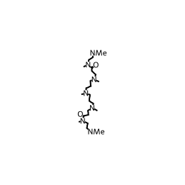 CNCCN(C)C(=O)CCN(C)CCCN(C)CCCN(C)CCC(=O)N(C)CCNC